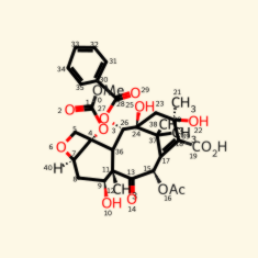 COC(=O)O[C@@]12CO[C@@H]1C[C@H](O)[C@@]1(C)C(=O)[C@H](OC(C)=O)C3=C(C(=O)O)[C@](C)(O)C[C@@](O)([C@@H](OC(=O)c4ccccc4)C12)C3(C)C